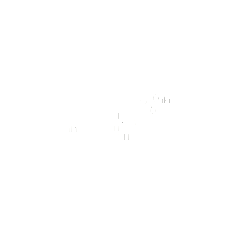 CC(C)CCCC(C)[C@H]1CC[C@H]2[C@@H]3CC=C4C[C@@H](OC(=O)OC(C)C)CC[C@]4(C)[C@H]3CC[C@]12C